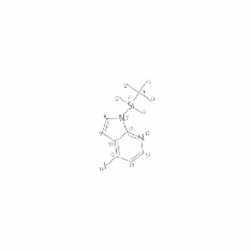 CC(C)(C)[Si](C)(C)n1ccc2c(I)ccnc21